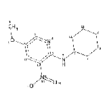 COc1cnc(NC2CCCCC2)c([N+](=O)[O-])c1